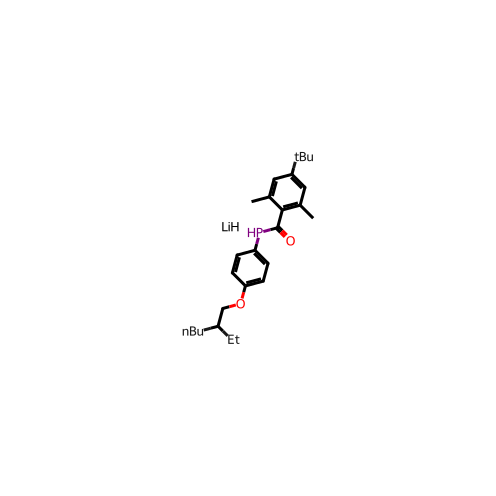 CCCCC(CC)COc1ccc(PC(=O)c2c(C)cc(C(C)(C)C)cc2C)cc1.[LiH]